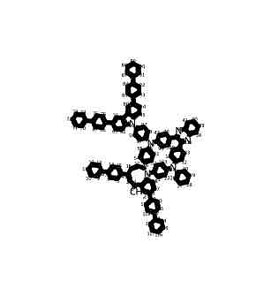 C=C1/C=C(c2ccc(-c3ccccc3)cc2)\C=C/CN(c2ccc(N(c3ccccc3)c3ccc(-c4nc5ccccc5nc4-c4ccc(N(c5ccccc5)c5ccc(-n6c7ccc(-c8ccc(-c9ccccc9)cc8)cc7c7cc(-c8ccc(-c9ccccc9)cc8)ccc76)cc5)cc4)cc3)cc2)c2ccc(-c3ccc(-c4ccccc4)cc3)cc21